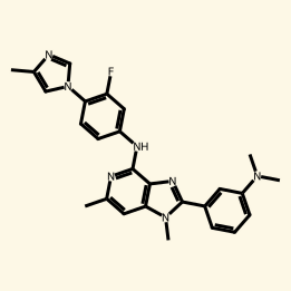 Cc1cn(-c2ccc(Nc3nc(C)cc4c3nc(-c3cccc(N(C)C)c3)n4C)cc2F)cn1